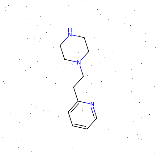 [CH]1CN(CCc2ccccn2)CCN1